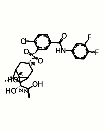 C[C@H](O)[C@H](O)[C@@]1(O)C2C[C@@H](S(=O)(=O)c3cc(C(=O)Nc4ccc(F)c(F)c4)ccc3Cl)CC1[C@@H](C)C2